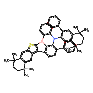 CC1(C)CCC(C)(C)c2cc(N3c4ccccc4B4c5sc6cc7c(cc6c5-c5ccc(-c6ccccc6)c3c54)C(C)(C)CCC7(C)C)c(-c3ccccc3)cc21